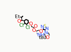 C=C(CC)C(=O)c1ccc(OCC(=O)O[C@@H](CNC(C)(C)C)COc2nsnc2N2CCOCC2)c(Cl)c1Cl